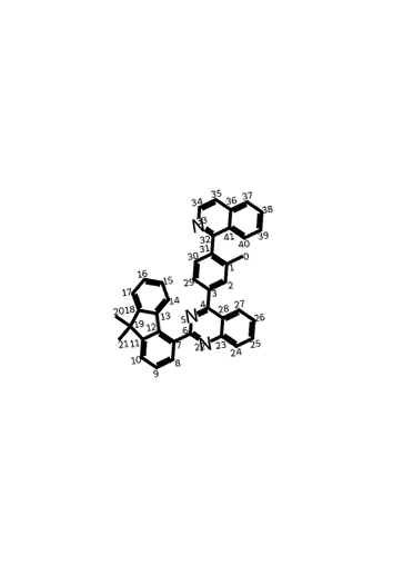 Cc1cc(-c2nc(-c3cccc4c3-c3ccccc3C4(C)C)nc3ccccc23)ccc1-c1nccc2ccccc12